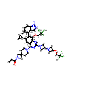 C=CC(=O)N1CC2(CCN(c3nc(N4CC(N5CC(OCC(F)(F)F)C5)C4)nc4c(OCC(F)(F)F)c(-c5c(C)ccc6[nH]ncc56)c(C5CC5)cc34)CC2)C1